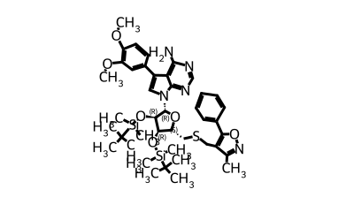 COc1ccc(-c2cn([C@@H]3O[C@H](CSCc4c(C)noc4-c4ccccc4)[C@@H](O[Si](C)(C)C(C)(C)C)[C@H]3O[Si](C)(C)C(C)(C)C)c3ncnc(N)c23)cc1OC